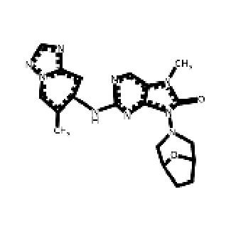 Cc1cn2ncnc2cc1Nc1ncc2c(n1)n(N1CC3CCC(C1)O3)c(=O)n2C